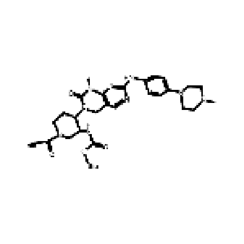 C=CC(=O)N1CCC(N2Cc3cnc(Nc4ccc(N5CCN(C)CC5)cc4)nc3N(C)C2=O)C(NC(=O)OC(C)(C)C)C1